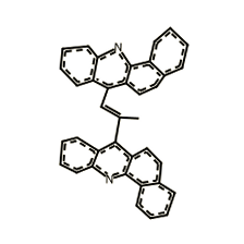 CC(=Cc1c2ccccc2nc2c1ccc1ccccc12)c1c2ccccc2nc2c1ccc1ccccc12